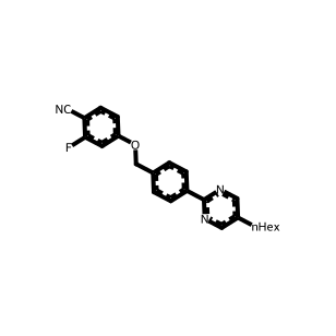 CCCCCCc1cnc(-c2ccc(COc3ccc(C#N)c(F)c3)cc2)nc1